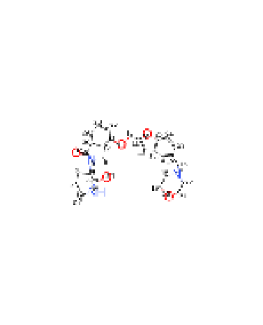 C=C1CCC(N2Cc3c(OCc4cc5cc(CN6CCOCC6)ccc5o4)cccc3C2=O)C(=O)N1